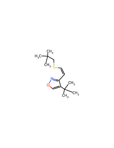 CC(C)(C)CS/C=C\c1nocc1C(C)(C)C